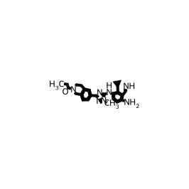 CCC(=O)N1CCc2cc(-c3nc(Nc4ccc(N)c(C=N)c4C4CC4)n(C)n3)ccc2C1